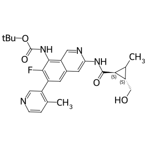 Cc1ccncc1-c1cc2cc(NC(=O)[C@H]3C(C)[C@@H]3CO)ncc2c(NC(=O)OC(C)(C)C)c1F